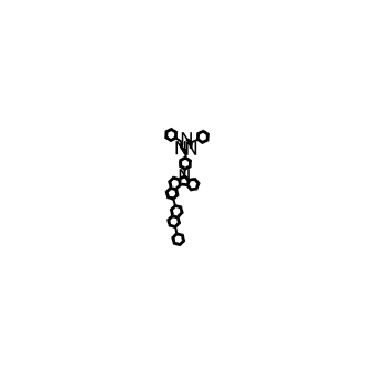 c1ccc(-c2ccc3cc(-c4ccc5ccc6c(c5c4)c4ccccc4n6-c4ccc(-c5nc(-c6ccccc6)nc(-c6ccccc6)n5)cc4)ccc3c2)cc1